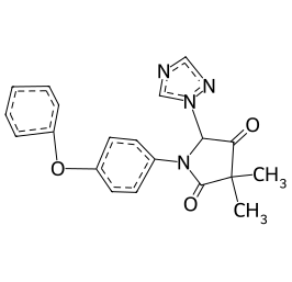 CC1(C)C(=O)C(n2cncn2)N(c2ccc(Oc3ccccc3)cc2)C1=O